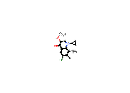 Cc1c(Cl)cc2c(=O)c(OC(=O)O)cn(C3CC3)c2c1[N+](=O)[O-]